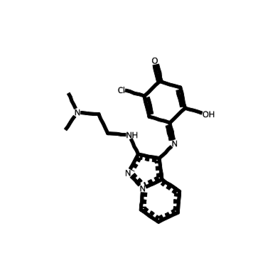 CN(C)CCNc1nn2ccccc2c1/N=C1\C=C(Cl)C(=O)C=C1O